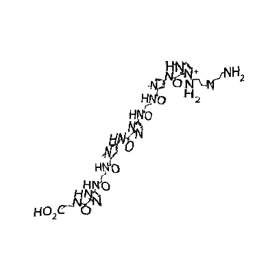 CN(CCCN)CCC(N)[n+]1ccn(C)c1C(=O)Nc1cc(C(=O)NCCC(=O)Nc2cn(C)c(C(=O)Nc3cc(C(=O)NCCC(=O)Nc4cn(C)c(C(=O)NCCC(=O)O)n4)n(C)c3)n2)n(C)c1